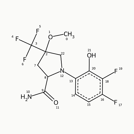 COC1(C(F)(F)F)CC(C(N)=O)N(c2ccc(F)c(F)c2O)C1